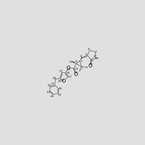 CC1(C)[C@H](C=C2CCSC2=O)[C@@]1(C)C(=O)Oc1coc(Cc2ccccc2)c1